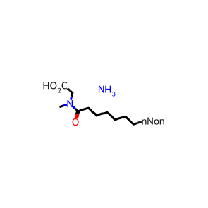 CCCCCCCCCCCCCCCC(=O)N(C)CC(=O)O.N